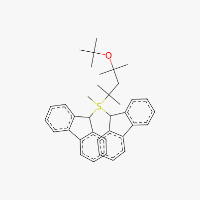 CC(C)(C)OC(C)(C)CC(C)(C)S(C)(C1c2ccccc2-c2ccccc21)C1c2ccccc2-c2ccccc21